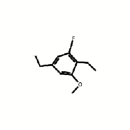 [CH2]Cc1cc(F)c(CC)c(OC)c1